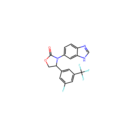 O=C1OCC(c2cc(F)cc(C(F)(F)F)c2)N1c1ccc2nc[nH]c2c1